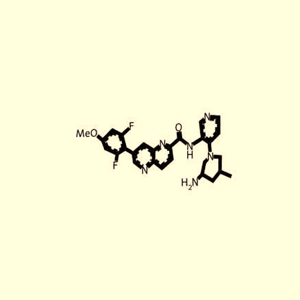 COc1cc(F)c(-c2cnc3ccc(C(=O)Nc4cnccc4N4CC(C)CC(N)C4)nc3c2)c(F)c1